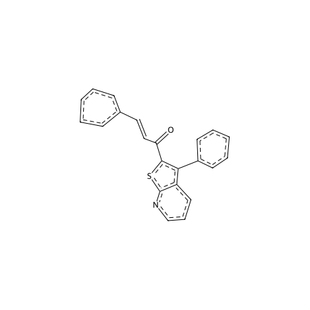 O=C(/C=C/c1ccccc1)c1sc2ncccc2c1-c1ccccc1